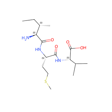 CC[C@H](C)[C@H](N)C(=O)N[C@@H](CCSC)C(=O)N[C@H](C(=O)O)C(C)C